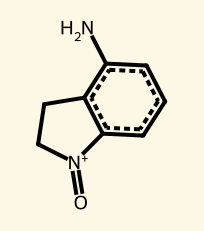 Nc1cccc2c1CC[N+]2=O